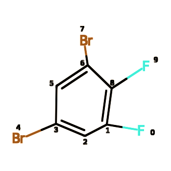 Fc1cc(Br)cc(Br)c1F